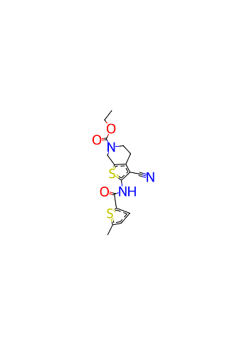 CCOC(=O)N1CCc2c(sc(NC(=O)c3ccc(C)s3)c2C#N)C1